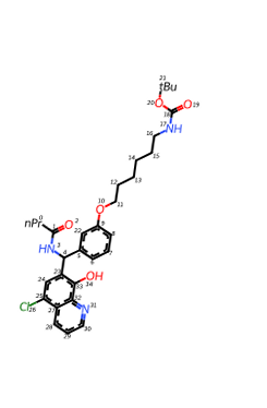 CCCC(=O)NC(c1cccc(OCCCCCCNC(=O)OC(C)(C)C)c1)c1cc(Cl)c2cccnc2c1O